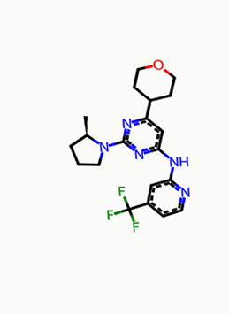 C[C@@H]1CCCN1c1nc(Nc2cc(C(F)(F)F)ccn2)cc(C2CCOCC2)n1